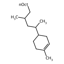 CCCCCCCCCC(C)CC(C)C1CC=C(C)CC1